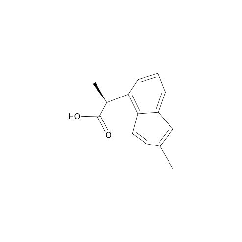 Cc1ccc2c([C@H](C)C(=O)O)cccc2c1